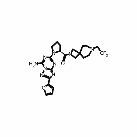 Nc1nc(N2CCC[C@H]2C(=O)N2CC3(CCN(CC(F)(F)F)CC3)C2)nc2nc(-c3ccco3)nn12